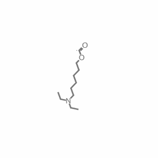 CCN(CC)CCCCCCO[C]=O